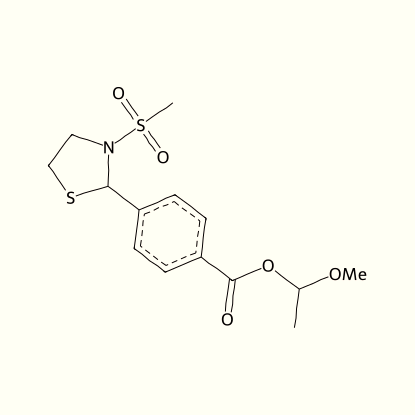 COC(C)OC(=O)c1ccc(C2SCCN2S(C)(=O)=O)cc1